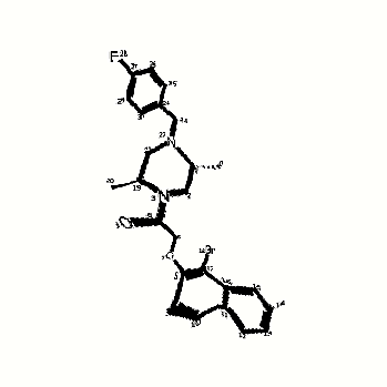 C[C@@H]1CN(C(=O)COc2ccc3ccccc3c2Br)[C@@H](C)CN1Cc1ccc(F)cc1